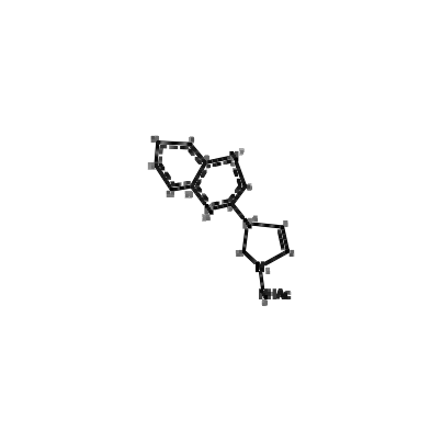 CC(=O)NN1C=CN(c2cnc3ccccc3n2)C1